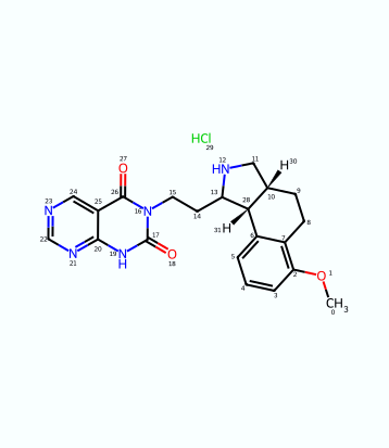 COc1cccc2c1CC[C@H]1CNC(CCn3c(=O)[nH]c4ncncc4c3=O)[C@@H]21.Cl